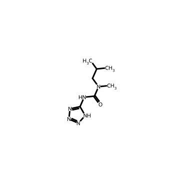 CC(C)CN(C)C(=O)Nc1nnn[nH]1